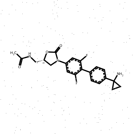 CC(=O)NC[C@H]1CN(c2cc(F)c(-c3ccc(C4(N)CC4)cc3)c(F)c2)C(=O)O1